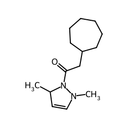 CC1C=CN(C)N1C(=O)CC1CCCCCC1